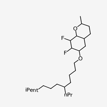 CCCC(C)CCCC(CCC)CCCCOC1CC2CCC(C)OC2C(F)C1F